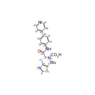 CC(C)(C)N(C(=O)O)[C@H](Cc1cscn1)C(=O)Nc1ccc(-c2ccncc2)cc1